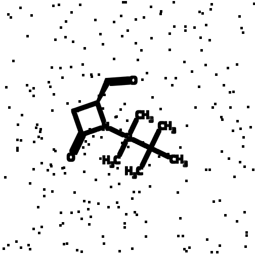 CC(C)(C)[Si](C)(C)N1C(=O)C[C@H]1C=O